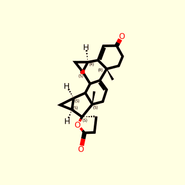 C[C@]12CCC(=O)C=C1[C@@H]1C[C@@H]1C1C2=CC[C@@]2(C)C1[C@@H]1C[C@@H]1[C@@]21CCC(=O)O1